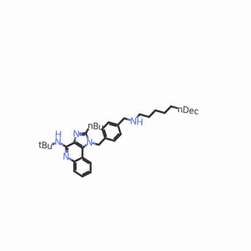 CCCCCCCCCCCCCCCNCc1ccc(Cn2c(CCCC)nc3c(NC(C)(C)C)nc4ccccc4c32)cc1